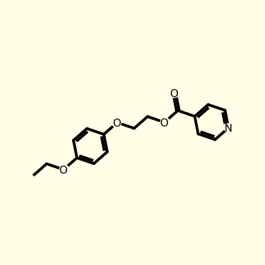 CCOc1ccc(OCCOC(=O)c2ccncc2)cc1